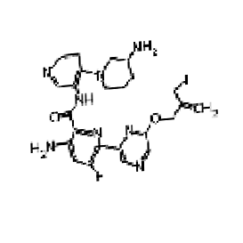 C=C(CI)COc1cncc(-c2nc(C(=O)Nc3cnccc3N3CCC[C@H](N)C3)c(N)cc2F)n1